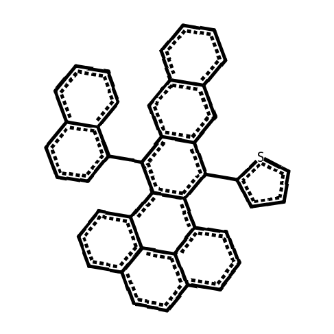 c1csc(-c2c3cc4ccccc4cc3c(-c3cccc4ccccc34)c3c4cccc5ccc6cccc(c23)c6c54)c1